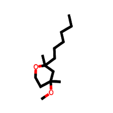 CCCCCCC1(C)CC(C)(OC)CCO1